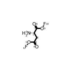 N[C@@H](CC(=O)OF)C(=O)OF